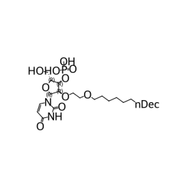 CCCCCCCCCCCCCCCCOCCO[C@@H]1[C@H](OP(=O)(O)O)[C@@H](CO)O[C@H]1n1ccc(=O)[nH]c1=O